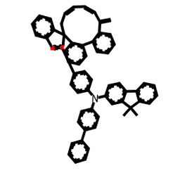 C=C1/C=C\C=C/CC2(c3ccccc3-c3ccccc31)c1ccccc1-c1ccc(-c3ccc(N(c4ccc(-c5ccccc5)cc4)c4ccc5c(c4)C(C)(C)c4ccccc4-5)cc3)cc12